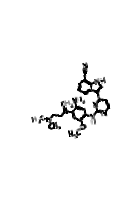 COc1cc(N(C)CCN(C)C)c(N)cc1Nc1nccc(-c2c[nH]c3c(C#N)cccc23)n1